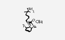 Cl.Cn1c(=O)n(CCCC(C)(C)N)c2c(F)cccc21